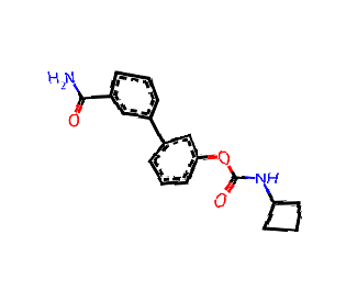 NC(=O)c1cccc(-c2cccc(OC(=O)NC3CCC3)c2)c1